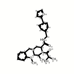 COc1ccccc1CN1CC(C)N(C(=O)C(C)C)C(C(=O)NCc2ccc(-c3ccco3)cc2)C1